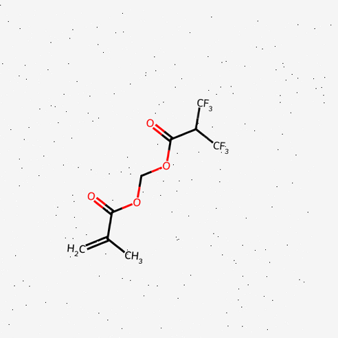 C=C(C)C(=O)OCOC(=O)C(C(F)(F)F)C(F)(F)F